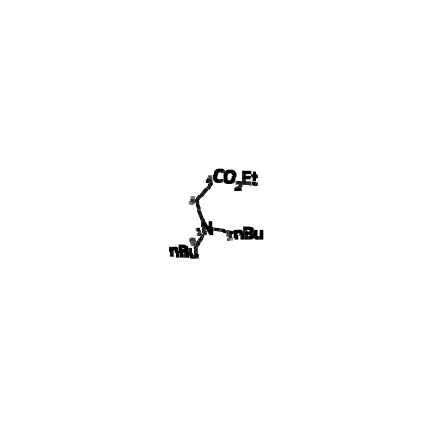 CCCCN(CCCC)CC(=O)OCC